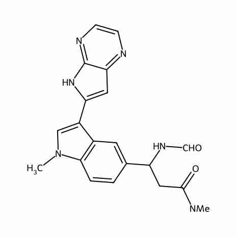 CNC(=O)CC(NC=O)c1ccc2c(c1)c(-c1cc3nccnc3[nH]1)cn2C